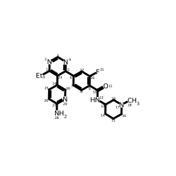 CCc1ncnc(-c2ccc(C(=O)NC3CCCN(C)C3)c(F)c2)c1-c1ccc(N)nc1